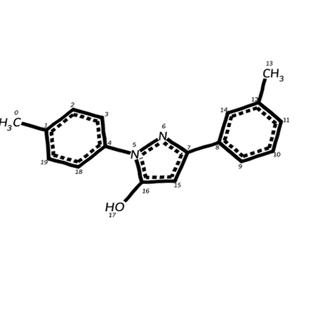 Cc1ccc(-n2nc(-c3cccc(C)c3)cc2O)cc1